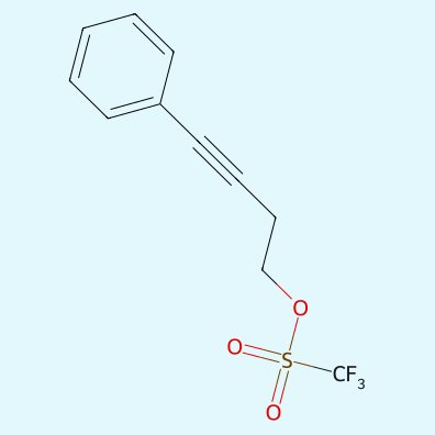 O=S(=O)(OCCC#Cc1ccccc1)C(F)(F)F